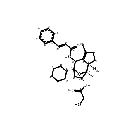 CC1=C2[C@@H](CC1)[C@]1(C)O[C@@](C3CCCCC3)(C[C@H]1OC(=O)CO)[C@H]2OC(=O)/C=C/c1ccccc1